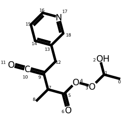 CC(O)OOC(=O)C(C)C(=C=O)Cc1cccnc1